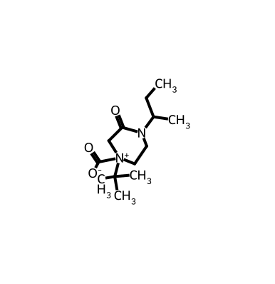 CCC(C)N1CC[N+](C(=O)[O-])(C(C)(C)C)CC1=O